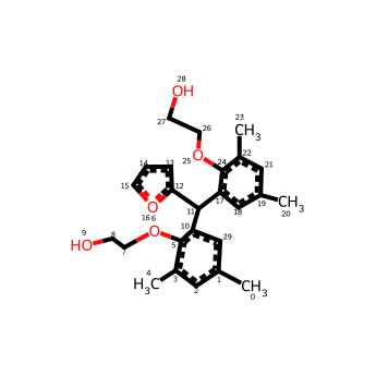 Cc1cc(C)c(OCCO)c(C(c2ccco2)c2cc(C)cc(C)c2OCCO)c1